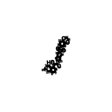 CN1CCc2c(cccc2C(O)C(=O)N2CC3=C(C2)CN(S(=O)(=O)c2ccc4c(c2)OCCO4)C3)C1